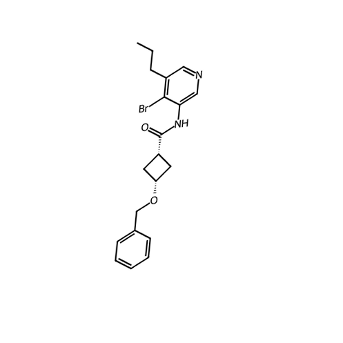 CCCc1cncc(NC(=O)[C@H]2C[C@@H](OCc3ccccc3)C2)c1Br